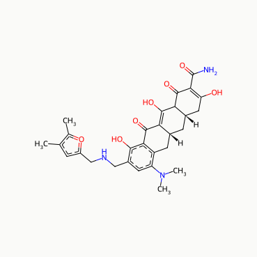 Cc1cc(CNCc2cc(N(C)C)c3c(c2O)C(=O)C2=C(O)C4C(=O)C(C(N)=O)=C(O)C[C@@H]4C[C@@H]2C3)oc1C